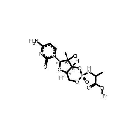 CC(C)OC(=O)C(C)NP1(=O)OC[C@H]2O[C@@H](n3ccc(N)nc3=O)[C@](C)(Cl)[C@@H]2O1